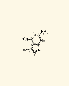 Nc1nc(N)c2c(nnn2I)n1